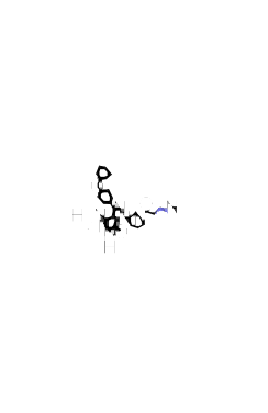 CN(C)/C=C/CC(=O)N1CCCC(n2nc(-c3ccc(Oc4ccccc4)cc3)c3c(N)n[nH]c(=O)c32)C1